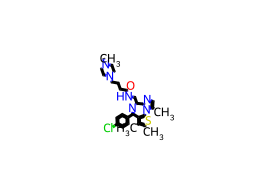 Cc1sc2c(c1C)C(c1ccc(Cl)cc1)=NC(CNC(=O)CCCN1CCN(C)CC1)c1ncc(C)n1-2